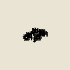 CSc1nc(-c2ccnc(NCC3Cc4ccccc4O3)c2)c(-c2ccc(F)cc2)[nH]1